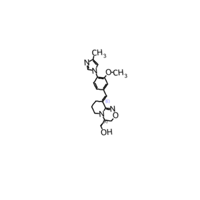 COc1cc(/C=C2\CCCN3C2=NOC[C@H]3CO)ccc1-n1cnc(C)c1